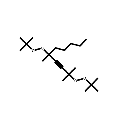 CCCCCC(C)(C#CC(C)(C)OOC(C)(C)C)OOC(C)(C)C